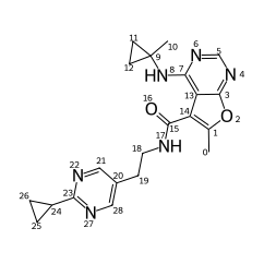 Cc1oc2ncnc(NC3(C)CC3)c2c1C(=O)NCCc1cnc(C2CC2)nc1